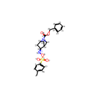 Cc1ccc(S(=O)(=O)O/N=C2/CC3CC2CN3C(=O)OCc2ccccc2)cc1